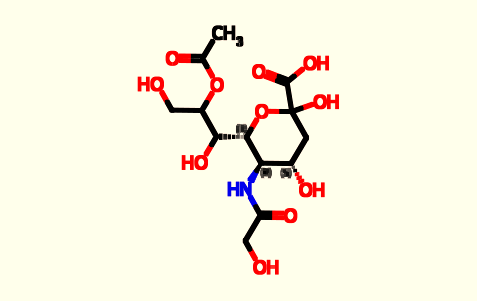 CC(=O)OC(CO)C(O)[C@@H]1OC(O)(C(=O)O)C[C@H](O)[C@H]1NC(=O)CO